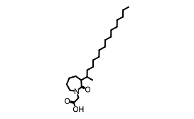 CCCCCCCCCCCCCCC(C)C1CCCCN(CC(=O)O)C1=O